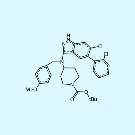 COc1ccc(CN(c2n[nH]c3cc(Cl)c(-c4ccccc4Cl)cc23)C2CCN(C(=O)OC(C)(C)C)CC2)cc1